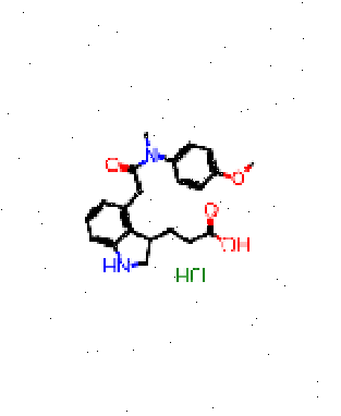 COc1ccc(N(C)C(=O)Cc2cccc3c2C(CCC(=O)O)CN3)cc1.Cl